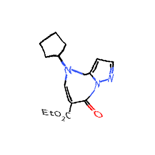 CCOC(=O)c1cn(C2CCCC2)c2ccnn2c1=O